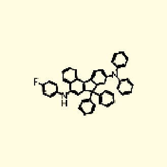 Fc1ccc(Nc2cc3c(c4ccccc24)-c2ccc(N(c4ccccc4)c4ccccc4)cc2C3(c2ccccc2)c2ccccc2)cc1